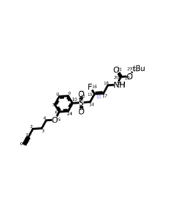 C#CCCCOc1cccc(S(=O)(=O)C/C(F)=C/CNC(=O)OC(C)(C)C)c1